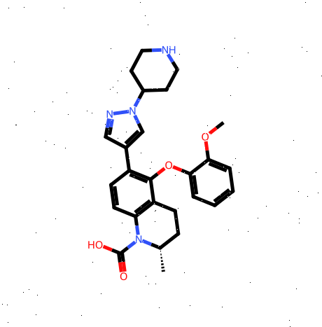 COc1ccccc1Oc1c(-c2cnn(C3CCNCC3)c2)ccc2c1CC[C@H](C)N2C(=O)O